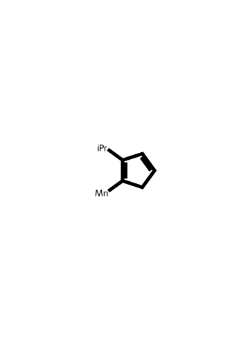 CC(C)C1=[C]([Mn])CC=C1